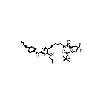 CCCNc1nc(Nc2ccc(C#N)cc2)ncc1C#CCCCNC(=O)[C@@H]1CC(F)(F)CN1C(=O)OC(C)(C)C